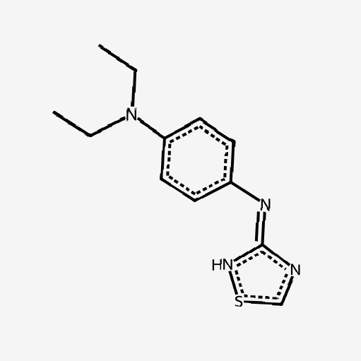 CCN(CC)c1ccc(N=c2ncs[nH]2)cc1